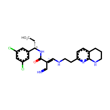 N=C/C(=C\NCCc1ccc2c(n1)NCCC2)C(=O)N[C@@H](CC(=O)O)c1cc(Cl)cc(Cl)c1